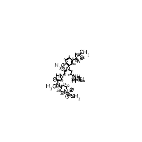 Cc1nc(-c2ccc(C)c(N(CCNC(C)C)C(=O)CNCC(=O)N(C)N3CCN(S(C)(=O)=O)CC3)c2)no1.Cl.Cl